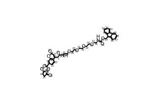 O=C(Cc1cc(=O)oc2cc(C(=O)ON3C(=O)CCC3=O)ccc12)NCCOCCOCCOCCOCCNC(=O)OCC1c2ccccc2-c2ccccc21